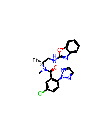 CC[C@@H](CNc1nc2ccccc2o1)N(C)C(=O)c1cc(Cl)ccc1-n1nccn1